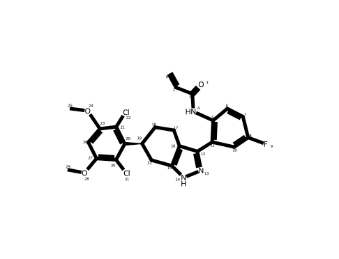 C=CC(=O)Nc1ccc(F)cc1-c1n[nH]c2c1CC[C@H](c1c(Cl)c(OC)cc(OC)c1Cl)C2